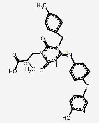 Cc1ccc(Cn2c(=O)n(C[C@H](C)C(=O)O)c(=O)[nH]/c2=N\c2ccc(Oc3ccc(O)nc3)cc2)cc1